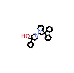 OCC1(c2ccccc2)CCN(CCC(c2ccccc2)(c2ccccc2)c2ccccn2)CC1